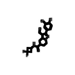 O=Cc1c(-c2ccc(Cl)c(Cl)c2)nn2c1CN(C(=O)NC1CC(F)(F)C1)CC2